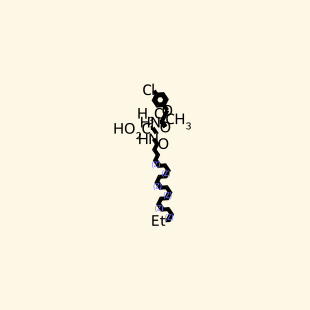 CC/C=C\C/C=C\C/C=C\C/C=C\C/C=C\C/C=C\CCC(=O)NCC(NC(=O)C(C)(C)Oc1ccc(Cl)cc1)C(=O)O